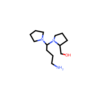 NCCCC(N1CCCC1)N1CCCC1CO